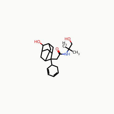 CC(C)(CO)NC(=O)CC1(C2C=CC=CC2)C2CC3CC1CC(C2)C3O